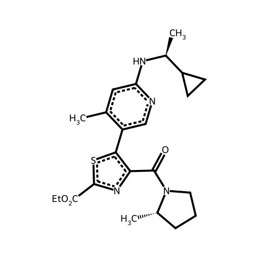 CCOC(=O)c1nc(C(=O)N2CCC[C@@H]2C)c(-c2cnc(N[C@@H](C)C3CC3)cc2C)s1